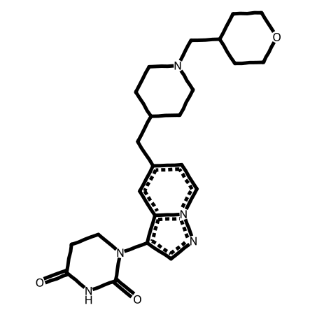 O=C1CCN(c2cnn3ccc(CC4CCN(CC5CCOCC5)CC4)cc23)C(=O)N1